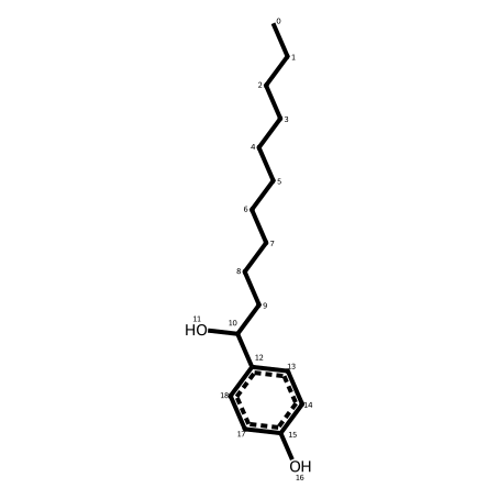 CCCCCCCCCCC(O)c1ccc(O)cc1